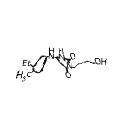 CCc1cc(Nc2cc(=O)n(CCCCCO)c(=O)[nH]2)ccc1C